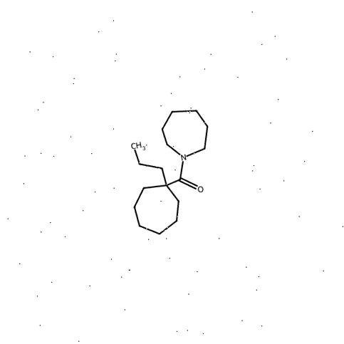 CCCC1(C(=O)N2CCCCCC2)CCCCCC1